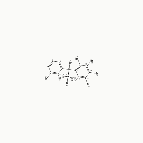 Brc1cccc(C(Br)(c2c(Br)c(Br)c(Br)c(Br)c2Br)C(Br)(Br)Br)c1Br